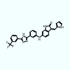 O=C1Nc2cc(Nc3cccc(-c4nnc(-c5cccc(C(F)(F)F)c5)[nH]4)c3)ccc2/C1=C/c1ccc[nH]1